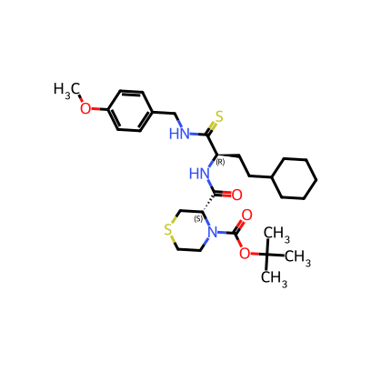 COc1ccc(CNC(=S)[C@@H](CCC2CCCCC2)NC(=O)[C@H]2CSCCN2C(=O)OC(C)(C)C)cc1